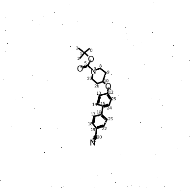 CC(C)(C)OC(=O)N1CCC(Oc2ccc(-c3ccc(C#N)cc3)cc2)CC1